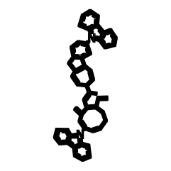 C=C/C1=C(\C=C(/C)C2C=CC3=C(C=C2)c2cc(-n4c5ccccc5c5ccccc54)ccc2C3)C(=C)/C=C(n2c3ccccc3c3ccccc32)\C=C/CC1